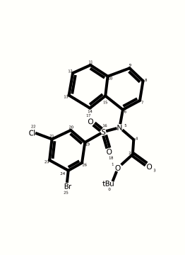 CC(C)(C)OC(=O)CN(c1cccc2ccccc12)S(=O)(=O)c1cc(Cl)cc(Br)c1